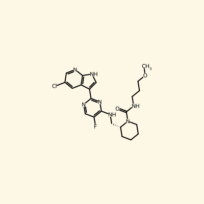 COCCCNC(=O)N1CCCC[C@@H]1CNc1nc(-c2c[nH]c3ncc(Cl)cc23)ncc1F